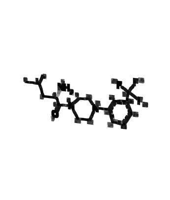 CC(C)C[C@H](N)C(=O)N1CCN(c2cccc(C(F)(F)F)c2)CC1